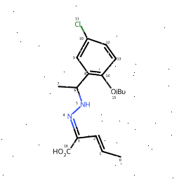 C/C=C/C(=N\NC(C)c1cc(Cl)ccc1OCC(C)C)C(=O)O